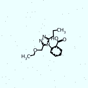 CCCc1nnc(COCC)n1-c1ccccc1C(=O)O